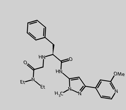 CCN(CC)C(=O)CN[C@@H](Cc1ccccc1)C(=O)Nc1cc(-c2ccnc(OC)c2)nn1C